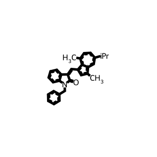 Cc1cc(/C=C2\C(=O)N(Cc3ccccc3)c3ccccc32)c2c(C)ccc(C(C)C)cc1-2